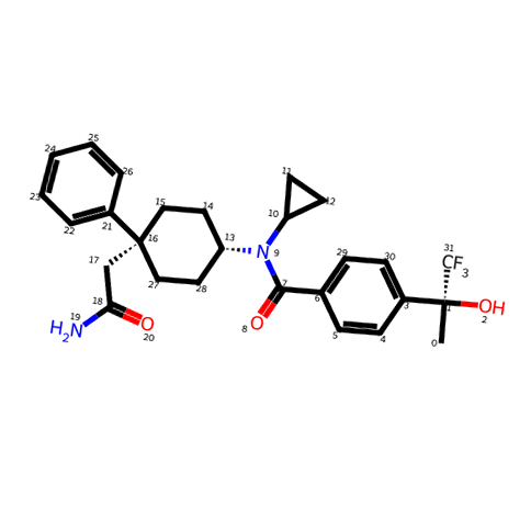 C[C@](O)(c1ccc(C(=O)N(C2CC2)[C@H]2CC[C@](CC(N)=O)(c3ccccc3)CC2)cc1)C(F)(F)F